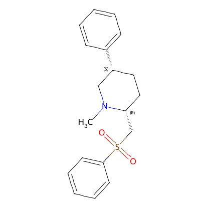 CN1C[C@H](c2ccccc2)CC[C@@H]1CS(=O)(=O)c1ccccc1